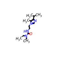 CCN(CC)C(=O)NCCn1cnc(C(C)C)c1C